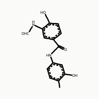 Cc1ccc(NC(=O)c2ccc(O)c(NC=O)c2)cc1O